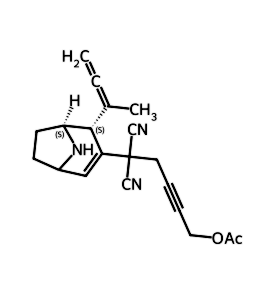 C=C=C(C)[C@@H]1C(C(C#N)(C#N)CC#CCOC(C)=O)=CC2CC[C@@H]1N2